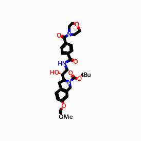 COCOc1ccc2c(c1)CN(C(=O)OC(C)(C)C)C([C@H](O)CNC(=O)c1ccc(C(=O)N3CCOCC3)cc1)C2